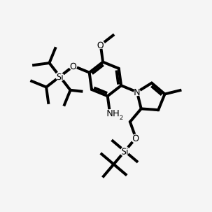 COc1cc(N2C=C(C)CC2CO[Si](C)(C)C(C)(C)C)c(N)cc1O[Si](C(C)C)(C(C)C)C(C)C